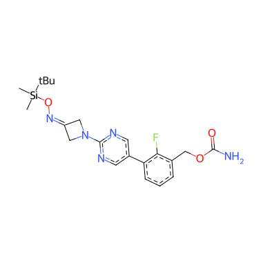 CC(C)(C)[Si](C)(C)ON=C1CN(c2ncc(-c3cccc(COC(N)=O)c3F)cn2)C1